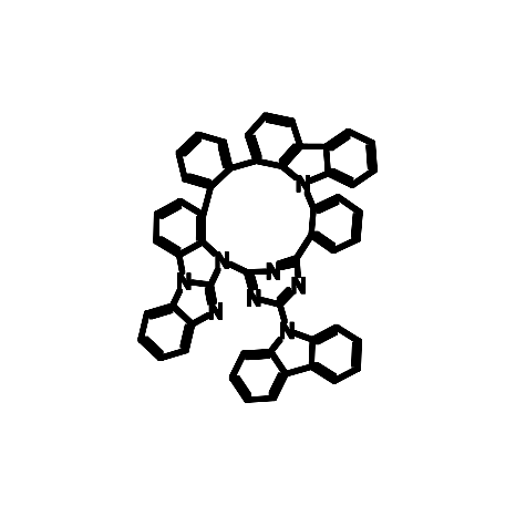 c1ccc2c(c1)nc1n2c2cccc3c4ccccc4c4cccc5c6ccccc6n(c6ccccc6c6nc(-n7c8ccccc8c8ccccc87)nc(n6)n1c32)c45